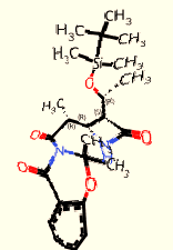 C[C@@H](O[Si](C)(C)C(C)(C)C)[C@H]1C(=O)N[C@@H]1[C@@H](C)C(=O)N1C(=O)c2ccccc2OC1(C)C